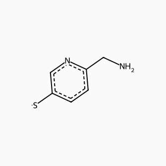 NCc1ccc([S])cn1